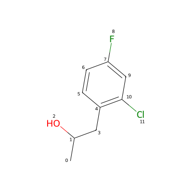 CC(O)Cc1ccc(F)cc1Cl